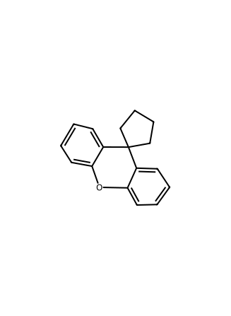 c1ccc2c(c1)Oc1ccccc1C21CCCC1